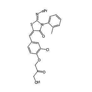 CCCN=C1SC(=Cc2ccc(OCC(=O)CO)c(Cl)c2)C(=O)N1c1ccccc1C